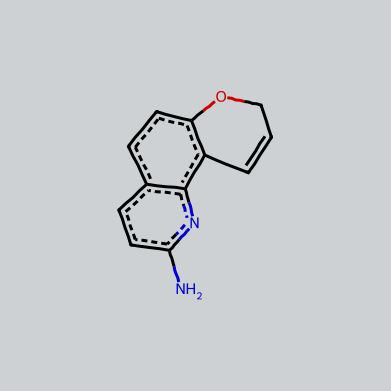 Nc1ccc2ccc3c(c2n1)C=CCO3